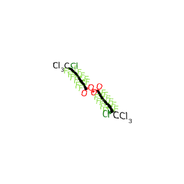 O=C(OOC(=O)C(F)(F)C(F)(F)C(F)(F)C(F)(F)C(F)(F)C(F)(Cl)C(Cl)(Cl)Cl)C(F)(F)C(F)(F)C(F)(F)C(F)(F)C(F)(F)C(F)(Cl)C(Cl)(Cl)Cl